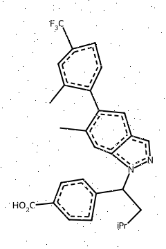 Cc1cc(C(F)(F)F)ccc1-c1cc2cnn(C(CC(C)C)c3ccc(C(=O)O)cc3)c2cc1C